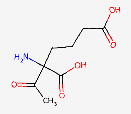 CC(=O)C(N)(CCCC(=O)O)C(=O)O